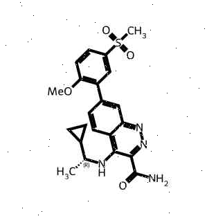 COc1ccc(S(C)(=O)=O)cc1-c1ccc2c(N[C@H](C)C3CC3)c(C(N)=O)nnc2c1